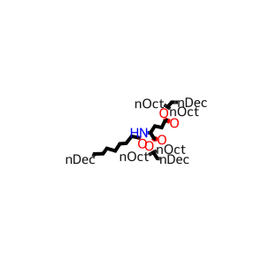 CCCCCCCCCCCCCCCCCC(=O)NC(CCC(=O)OC(CCCCCCCC)(CCCCCCCC)CCCCCCCCCCC)C(=O)OC(CCCCCCCC)(CCCCCCCC)CCCCCCCCCCC